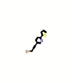 BrCC#Cc1ccc(-c2cccs2)nc1